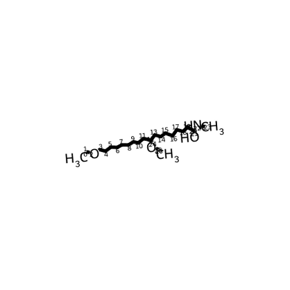 CCOCCCCCCCCCC(CCCCCCCC(O)NC)OCC